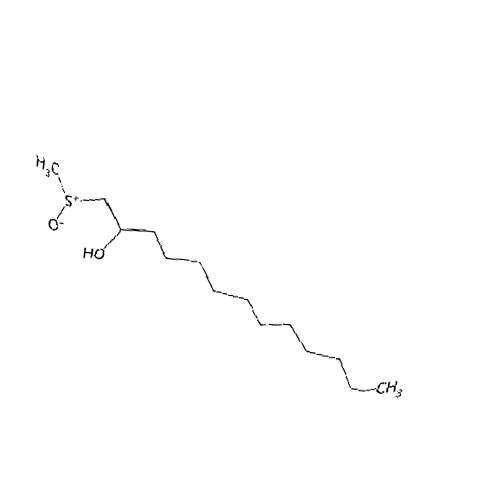 CCCCCCCCCCCC(O)C[S+](C)[O-]